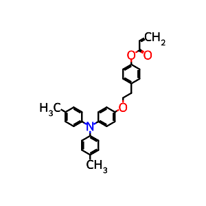 C=CC(=O)Oc1ccc(CCOc2ccc(N(c3ccc(C)cc3)c3ccc(C)cc3)cc2)cc1